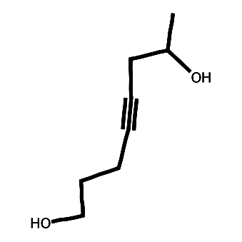 CC(O)CC#CCCCO